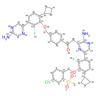 CS(=O)(=O)c1cc(Cl)ccc1COc1c(C2CCC2)ccc(-c2cnc(N)c(CC(=O)c3ccc(COc4c(C5CCC5)ccc(-c5cnc(N)cn5)c4F)cc3)n2)c1F